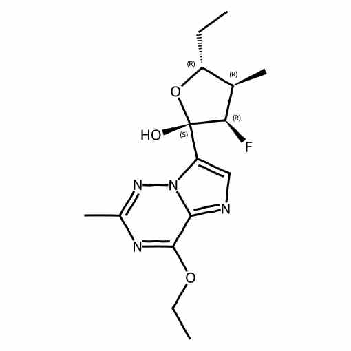 CCOc1nc(C)nn2c([C@]3(O)O[C@H](CC)[C@@H](C)[C@H]3F)cnc12